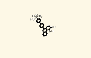 C[PH](C)(O)c1ccc(-c2ccc(-c3nc4ccccc4c4c3C=CC(=N)C4=N)cc2)cc1